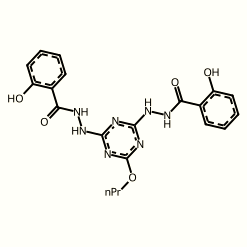 CCCOc1nc(NNC(=O)c2ccccc2O)nc(NNC(=O)c2ccccc2O)n1